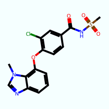 Cn1cnc2cccc(Oc3ccc(C(=O)NS(C)(=O)=O)cc3Cl)c21